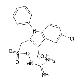 N=C(N)NOS(=O)(=O)Cc1c(C(=O)O)c2cc(Cl)ccc2n1-c1ccccc1